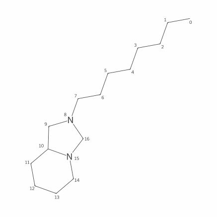 CCCCCCCCN1CC2CCCCN2C1